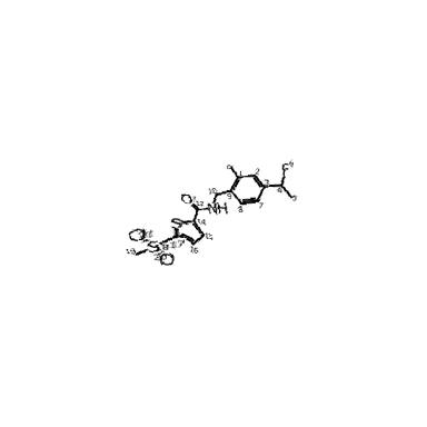 Cc1cc(C(C)F)ccc1CNC(=O)c1ccc(S(C)(=O)=O)s1